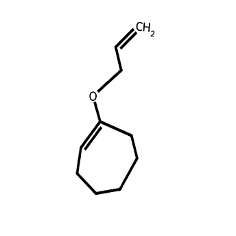 C=CCOC1=CCCCCC1